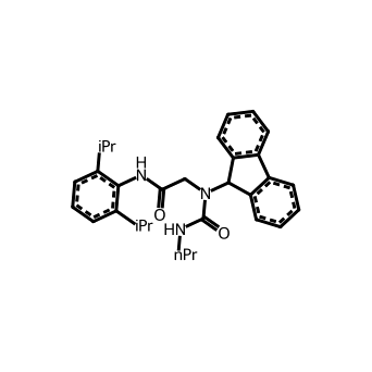 CCCNC(=O)N(CC(=O)Nc1c(C(C)C)cccc1C(C)C)C1c2ccccc2-c2ccccc21